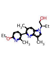 CCOc1ccc(-c2nc3c(C)cn([C@H](CC)CO)c3cc2C)c(C)n1